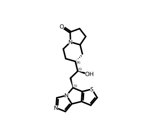 O=C1CCC2C[C@H]([C@@H](O)C[C@H]3c4sccc4-c4cncn43)CCN12